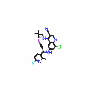 Cc1nc(F)ccc1[C@@H](C#CI)Nc1cc(Cl)c2ncc(C#N)c(NCC(C)(C)C)c2c1